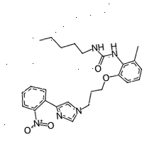 CCCCCNC(=O)Nc1c(C)cccc1OCCCn1cnc(-c2ccccc2[N+](=O)[O-])c1